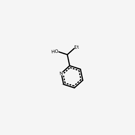 CCC(O)c1ccc[c]n1